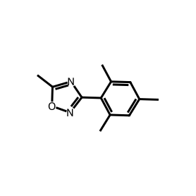 Cc1cc(C)c(-c2noc(C)n2)c(C)c1